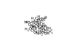 CC[C@H](C)[C@H](NC(=O)[C@H](CCC(N)=O)N(C(=O)OC(C)(C)C)C(=O)[C@H](CCC(=O)C=[N+]=[N-])NC(=O)[C@H](C)NC(=O)[C@@H]1CCC(=O)N1)C(=O)N[C@H](C(=O)O)C(C)C